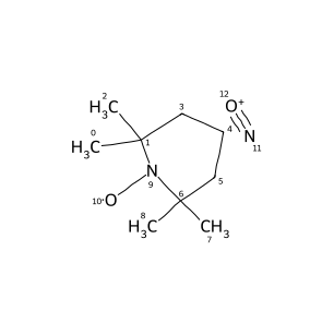 CC1(C)CCCC(C)(C)N1[O].N#[O+]